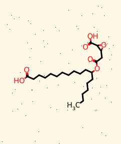 CCCCCCC(CCCCCCCCCCC(=O)O)OC(=O)CC1OC1C(=O)O